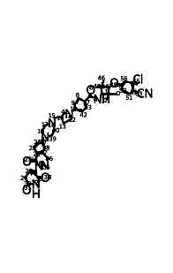 CC1(C)[C@H](NC(=O)c2ccc(N3CCC(CN4CCN(c5ccc6c(=O)n([C@@H]7CCC(=O)NC7=O)ncc6c5)CC4)C3)cc2)C(C)(C)[C@H]1Oc1ccc(C#N)c(Cl)c1